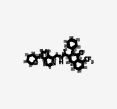 C[C@H](NCc1ncnc2c1ncn2C1CCCCO1)c1cc2cccc(C(F)(F)F)c2c(=O)n1-c1ccccc1